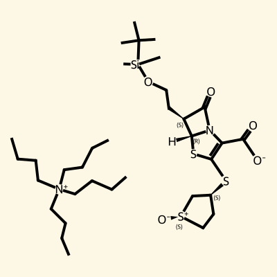 CC(C)(C)[Si](C)(C)OCC[C@H]1C(=O)N2C(C(=O)[O-])=C(S[C@H]3CC[S@@+]([O-])C3)S[C@H]12.CCCC[N+](CCCC)(CCCC)CCCC